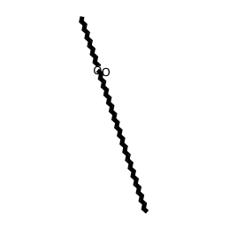 CCCCCCCCCCCCCCCCCCCCCCCCCCCCCCCCCCC(=O)OCCCCCCCCCCCCC